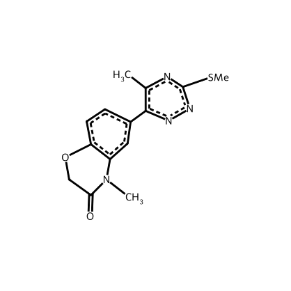 CSc1nnc(-c2ccc3c(c2)N(C)C(=O)CO3)c(C)n1